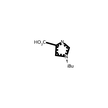 CC[C@@H](C)n1cnc(C(=O)O)c1